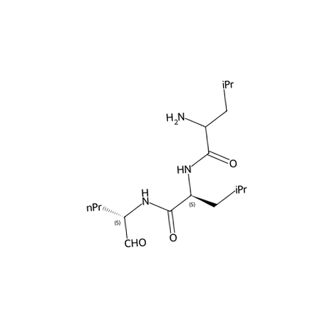 CCC[C@@H](C=O)NC(=O)[C@H](CC(C)C)NC(=O)C(N)CC(C)C